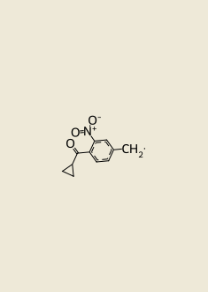 [CH2]c1ccc(C(=O)C2CC2)c([N+](=O)[O-])c1